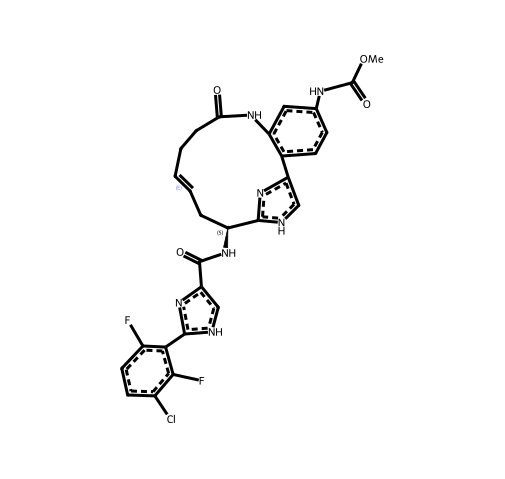 COC(=O)Nc1ccc2c(c1)NC(=O)CC/C=C/C[C@H](NC(=O)c1c[nH]c(-c3c(F)ccc(Cl)c3F)n1)c1nc-2c[nH]1